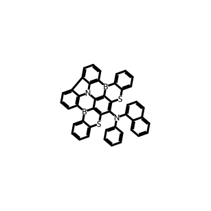 c1ccc(N(c2c3c4c5c6c2Sc2ccccc2B6c2cccc6c7cccc(c7n-5c26)B4c2ccccc2S3)c2cccc3ccccc23)cc1